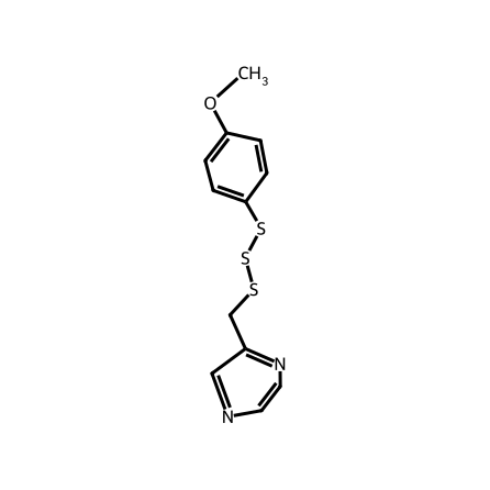 COc1ccc(SSSCc2cnccn2)cc1